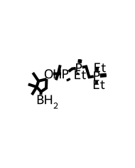 BC1CC(OC(C)(C)[PH](=C)CP(=C)(CC)CCP(=C)(CC)CC)C(C)C1(C)C